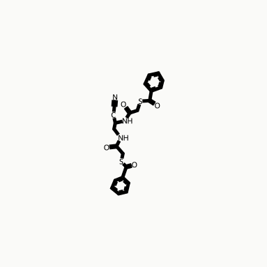 N#CCC(CNC(=O)CSC(=O)c1ccccc1)NC(=O)CSC(=O)c1ccccc1